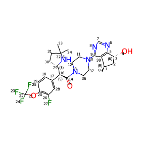 C[C@@H]1C[C@@H](O)c2ncnc(N3CCN(C(=O)[C@@H](c4ccc(OC(F)(F)F)c(F)c4)[C@@H]4CCC(C)(C)N4)CC3)c21